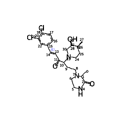 CC1C(=O)NCCN1CCC(C(=O)/C=C/c1ccc(Cl)c(Cl)c1)N1CC[C@H](C)[C@H](O)C1